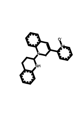 [O-][n+]1ccccc1C1=Cc2ccccc2N(C2CCc3ccccc3N2)[C]1